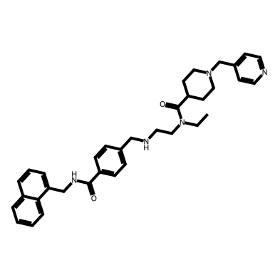 CCN(CCNCc1ccc(C(=O)NCc2cccc3ccccc23)cc1)C(=O)C1CCN(Cc2ccncc2)CC1